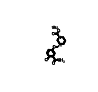 CC(C)(C)OC(=O)N1CCC[C@H](COc2ccc(Cl)c(C(N)=O)c2)C1